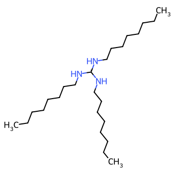 CCCCCCCCN[C](NCCCCCCCC)NCCCCCCCC